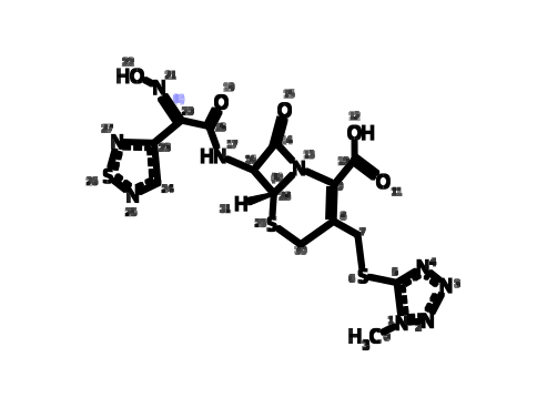 Cn1nnnc1SCC1=C(C(=O)O)N2C(=O)C(NC(=O)/C(=N/O)c3cnsn3)[C@H]2SC1